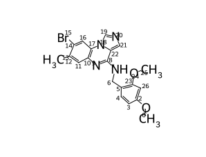 COc1ccc(CNc2nc3cc(C)c(Br)cc3n3cncc23)c(OC)c1